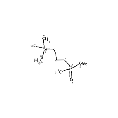 COP(C)(=O)CCC[Si](C)(C)F